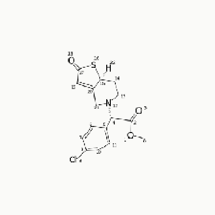 COC(=O)[C@H](c1ccc(Cl)cc1)N1CC[C@@H]2SC(=O)C=C2C1